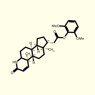 COc1cccc(OC)c1OC(=O)C[C@H]1CC[C@H]2[C@@H]3CCC4NC(=O)C=C[C@]4(C)[C@H]3CC[C@]12C